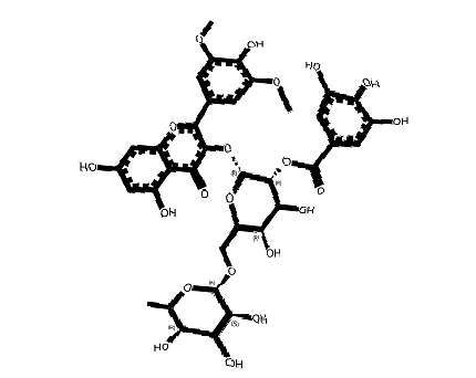 COc1cc(-c2oc3cc(O)cc(O)c3c(=O)c2O[C@H]2OC(CO[C@@H]3OC(C)[C@H](O)C(O)[C@@H]3O)[C@H](O)C(O)[C@H]2OC(=O)c2cc(O)c(O)c(O)c2)cc(OC)c1O